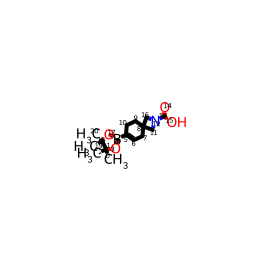 CC1(C)OB(C2=CCC3(CC2)CN(C(=O)O)C3)OC1(C)C